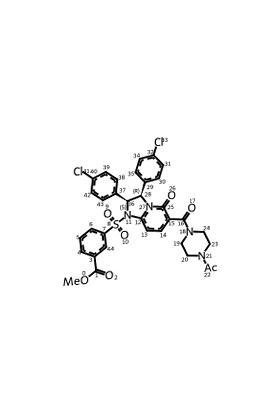 COC(=O)c1cccc(S(=O)(=O)N2c3ccc(C(=O)N4CCN(C(C)=O)CC4)c(=O)n3[C@H](c3ccc(Cl)cc3)[C@@H]2c2ccc(Cl)cc2)c1